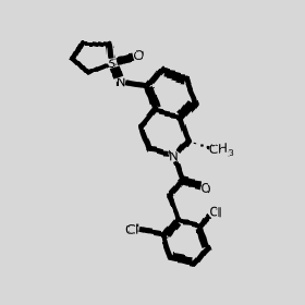 C[C@H]1c2cccc(N=S3(=O)CCCC3)c2CCN1C(=O)Cc1c(Cl)cccc1Cl